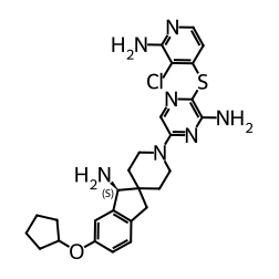 Nc1nc(N2CCC3(CC2)Cc2ccc(OC4CCCC4)cc2[C@H]3N)cnc1Sc1ccnc(N)c1Cl